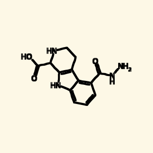 NNC(=O)c1cccc2[nH]c3c(c12)CCNC3C(=O)O